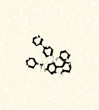 c1ccc(-c2ccc(N(c3ccccc3)c3c4oc(-c5ccccc5)nc4cc4oc5ccccc5c34)cc2)cc1